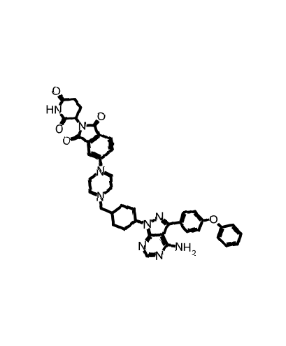 Nc1ncnc2c1c(-c1ccc(Oc3ccccc3)cc1)nn2C1CCC(CN2CCN(c3ccc4c(c3)C(=O)N(C3CCC(=O)NC3=O)C4=O)CC2)CC1